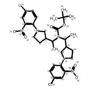 CC(C1CCN(c2ccc(Cl)cc2[N+](=O)[O-])C1)N(C(=O)OC(C)(C)C)C(C)C1CCN(c2ccc(Cl)cc2[N+](=O)[O-])C1